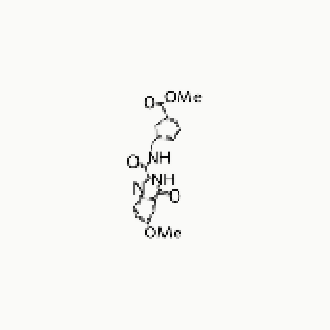 COC(=O)c1cccc(CNC(=O)c2nc3ccc(OC)cc3c(=O)[nH]2)c1